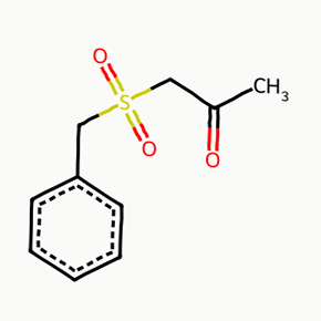 CC(=O)CS(=O)(=O)Cc1ccccc1